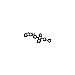 C=C/C(C)=C(\c1ccc2c3c(oc2c1)CC1Oc2ccccc2C1=C3)c1ccccc1/C(=C(C)/C=C\CC)c1ccc(-c2ccccc2)cc1